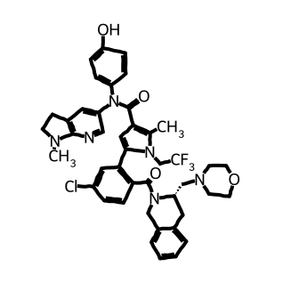 Cc1c(C(=O)N(c2ccc(O)cc2)c2cnc3c(c2)CCN3C)cc(-c2cc(Cl)ccc2C(=O)N2Cc3ccccc3C[C@H]2CN2CCOCC2)n1CC(F)(F)F